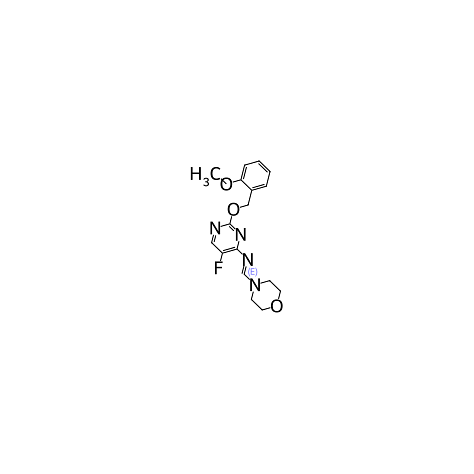 COc1ccccc1COc1ncc(F)c(/N=C/N2CCOCC2)n1